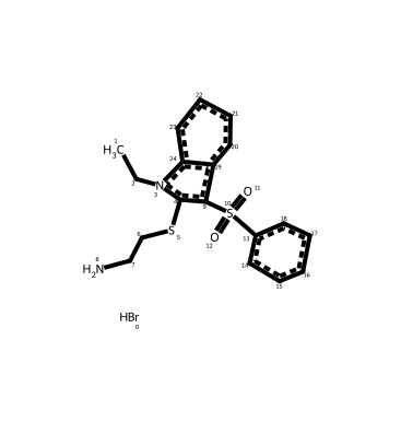 Br.CCn1c(SCCN)c(S(=O)(=O)c2ccccc2)c2ccccc21